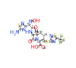 Nc1nc(/C(=N/O)C(=O)N[C@@H]2C(=O)N3C(C(=O)O)=C(Sc4nsc(C(F)(F)F)n4)CC[C@H]23)ns1